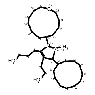 CCCCC1=C(CCC)C(C2CCCCCCCCCC2)N(C)N1C1CCCCCCCCCCC1